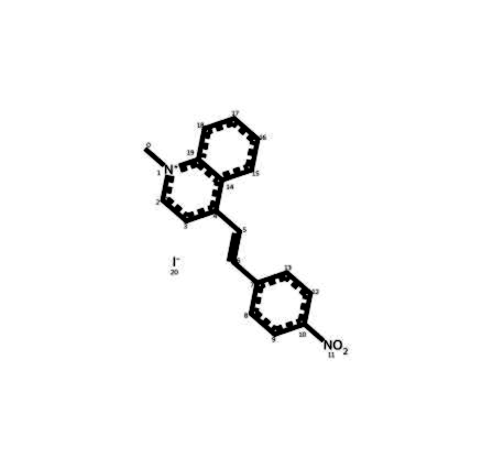 C[n+]1ccc(C=Cc2ccc([N+](=O)[O-])cc2)c2ccccc21.[I-]